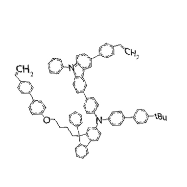 C=Cc1ccc(-c2ccc(OCCCCC3(c4ccccc4)c4ccccc4-c4ccc(N(c5ccc(-c6ccc(C(C)(C)C)cc6)cc5)c5ccc(-c6ccc7c(c6)c6cc(-c8ccc(C=C)cc8)ccc6n7-c6ccccc6)cc5)cc43)cc2)cc1